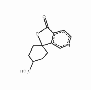 O=C1OC2(CCC(C(=O)O)CC2)c2cnccc21